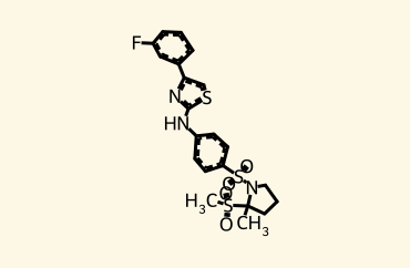 CC1(S(C)(=O)=O)CCCN1S(=O)(=O)c1ccc(Nc2nc(-c3cccc(F)c3)cs2)cc1